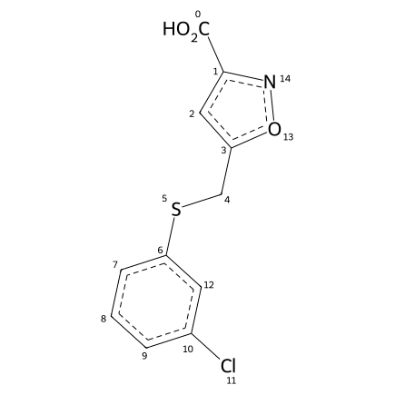 O=C(O)c1cc(CSc2cccc(Cl)c2)on1